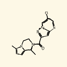 Cc1ccc2n1CCN(C(=O)c1cc3ncc(Cl)cn3n1)C2C